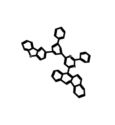 c1ccc(-c2cc(-c3ccc4oc5ccccc5c4c3)cc(-c3cc(-c4c5ccccc5cc5c4ccc4ccccc45)nc(-c4ccccc4)n3)c2)cc1